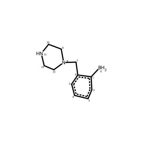 Bc1ccccc1CN1CCNCC1